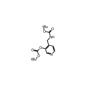 CC(C)(C)OC(=O)NCc1ccncc1OC(=O)OC(C)(C)C